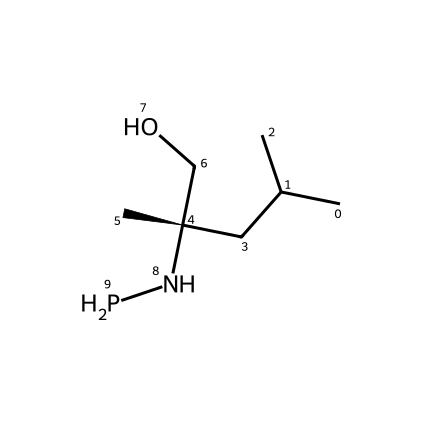 CC(C)C[C@@](C)(CO)NP